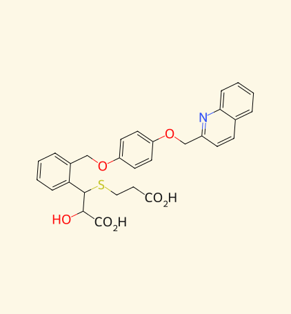 O=C(O)CCSC(c1ccccc1COc1ccc(OCc2ccc3ccccc3n2)cc1)C(O)C(=O)O